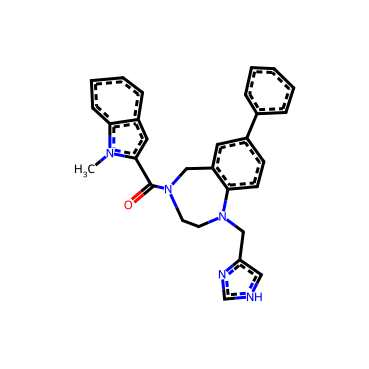 Cn1c(C(=O)N2CCN(Cc3c[nH]cn3)c3ccc(-c4ccccc4)cc3C2)cc2ccccc21